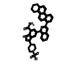 CCS(=O)(=O)N1CCC(c2c[nH]c3c(C(N)=O)cc(-c4nc(-c5cccc6c5ccc5c7c(ccc56)CCCC7)cc5ccccc45)cc23)CC1